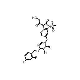 CS(=O)(=O)n1c(=O)n(C(=O)CO)c2ccc(Cn3cnc(OCc4ccc(F)cc4F)c(Cl)c3=O)cc21